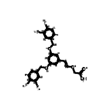 O=C(O)CON=Cc1cc(OCc2ccc(F)c(F)c2)cc(OCc2ccc(F)c(F)c2)c1